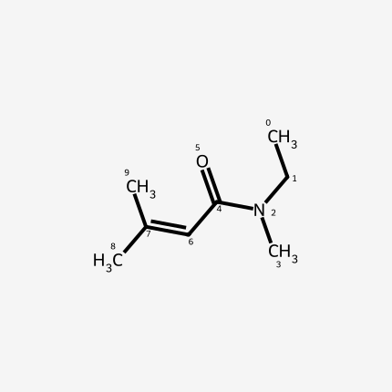 CCN(C)C(=O)C=C(C)C